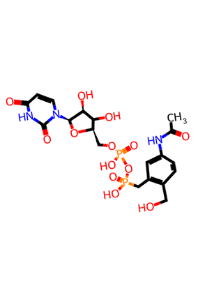 CC(=O)Nc1ccc(CO)c(CP(=O)(O)OP(=O)(O)OC[C@H]2O[C@@H](n3ccc(=O)[nH]c3=O)[C@@H](O)C2O)c1